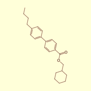 CCCCc1ccc(-c2ccc(C(=O)OCC3CCCCC3)cc2)cc1